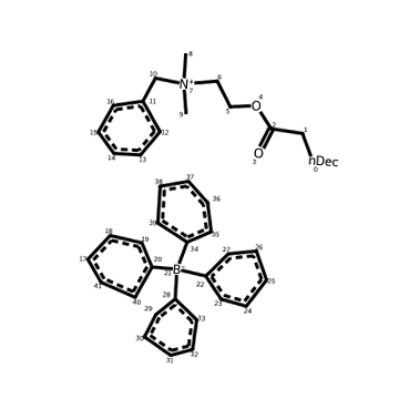 CCCCCCCCCCCC(=O)OCC[N+](C)(C)Cc1ccccc1.c1ccc([B-](c2ccccc2)(c2ccccc2)c2ccccc2)cc1